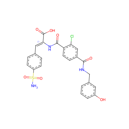 NS(=O)(=O)c1ccc(/C=C(\NC(=O)c2ccc(C(=O)NCc3cccc(O)c3)cc2Cl)C(=O)O)cc1